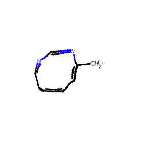 [CH2]C1=CC=CC=NC=N1